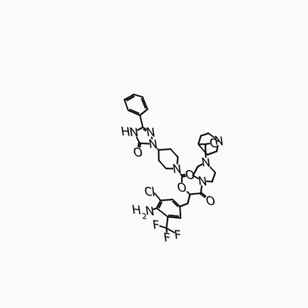 Nc1c(Cl)cc(CC(OC(=O)N2CCC(n3nc(-c4ccccc4)[nH]c3=O)CC2)C(=O)N2CCN(C3CN4CCC3CC4)CC2)cc1C(F)(F)F